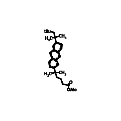 COC(=O)CCCC(C)(C)c1ccc2cc3cc(C(C)(C)CC(C)(C)C)ccc3cc2c1